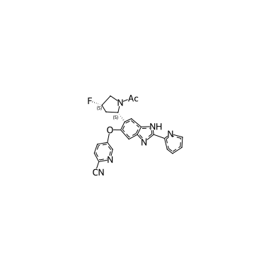 CC(=O)N1C[C@@H](F)C[C@H]1c1cc2[nH]c(-c3ccccn3)nc2cc1Oc1ccc(C#N)nc1